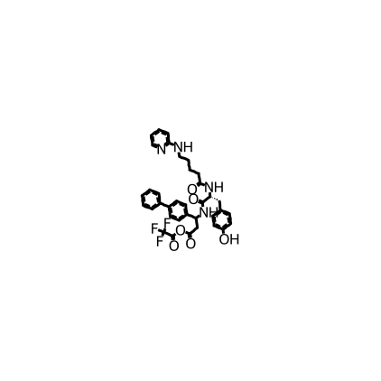 O=C(CCCCNc1ccccn1)N[C@H](Cc1ccc(O)cc1)C(=O)NC(CC(=O)OC(=O)C(F)(F)F)c1ccc(-c2ccccc2)cc1